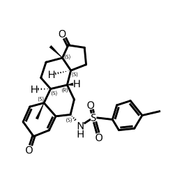 Cc1ccc(S(=O)(=O)N[C@H]2C[C@@H]3[C@H](CC[C@]4(C)C(=O)CC[C@@H]34)[C@@]3(C)C=CC(=O)C=C23)cc1